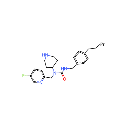 CC(C)CCc1ccc(CNC(=O)N(Cc2ccc(F)cn2)C2CCNCC2)cc1